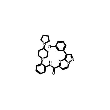 O=C(Nc1ccccc1N1CCC(N2CCCC2)CC1)c1ccn2ncc(-c3cccc(Cl)c3)c2n1